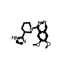 COc1cc2cnnc(N3CCCC(c4ncc[nH]4)C3)c2cc1OC